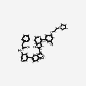 O=C(Cc1ccccc1)Nc1cncc(-c2ccc3[nH]nc(-c4cc5c(-c6cc(F)cc(OCCN7CCCC7)c6)nccc5[nH]4)c3c2)c1